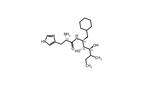 CCC(C)[C@H](O)[C@H](O)[C@H](CC1CCCCC1)NC(=O)[C@@H](N)Cc1c[nH]cn1